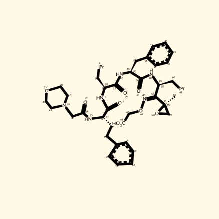 CC(C)C[C@H](NC(=O)[C@H](CCc1ccccc1)NC(=O)CN1CCOCC1)C(=O)N[C@@H](Cc1ccccc1)C(=O)N[C@@H](CC(C)C)C(=NOCC(=O)O)[C@@]1(C)CO1